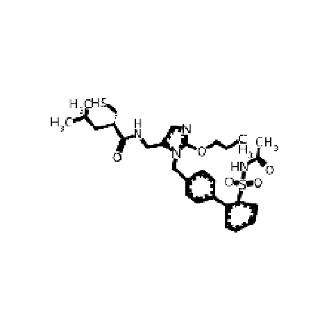 CCCOc1ncc(CNC(=O)[C@@H](CS)CC(C)C)n1Cc1ccc(-c2ccccc2S(=O)(=O)NC(C)=O)cc1